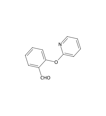 O=Cc1ccccc1Oc1ccccn1